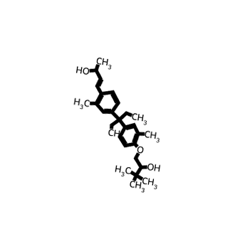 CCC(CC)(c1ccc(/C=C/C(C)O)c(C)c1)c1ccc(OCC(O)C(C)(C)C)c(C)c1